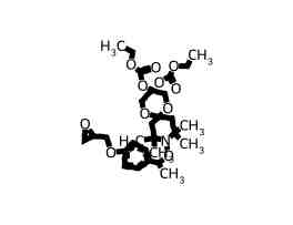 CCOC(=O)OC1(OC(=O)OCC)COC2(CC(C)(C)N(OC(C)c3ccc(OCC4CO4)cc3)C(C)(C)C2)OC1